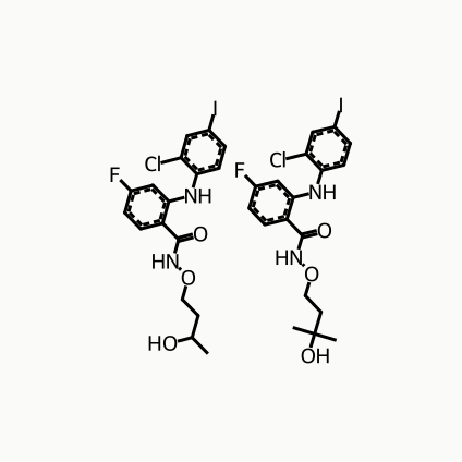 CC(C)(O)CCONC(=O)c1ccc(F)cc1Nc1ccc(I)cc1Cl.CC(O)CCONC(=O)c1ccc(F)cc1Nc1ccc(I)cc1Cl